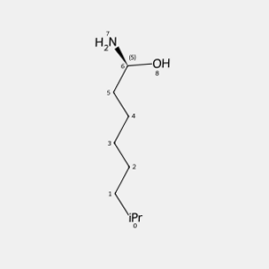 CC(C)CCCCC[C@@H](N)O